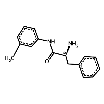 [CH2]c1cccc(NC(=O)[C@@H](N)Cc2ccccc2)c1